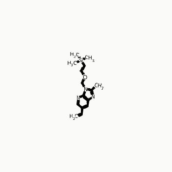 C=Cc1cnc2c(c1)nc(C)n2COCC[Si](C)(C)C